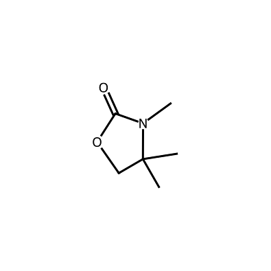 CN1C(=O)OCC1(C)C